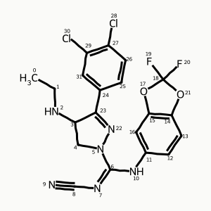 CCNC1CN(/C(=N\C#N)Nc2ccc3c(c2)OC(F)(F)O3)N=C1c1ccc(Cl)c(Cl)c1